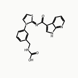 O=C(O)NCc1cccc(-n2ccsc2=NC(=O)c2c[nH]c3ncccc23)c1